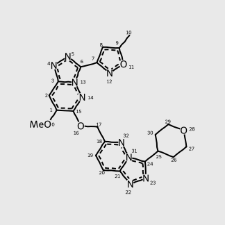 COc1cc2nnc(-c3cc(C)on3)n2nc1OCc1ccc2nnc(C3CCOCC3)n2n1